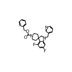 O=C(OCc1ccccc1)N1CCC2(CC1)CN(Cc1cccnc1)c1cc(F)cc(F)c12